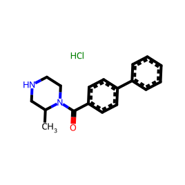 CC1CNCCN1C(=O)c1ccc(-c2ccccc2)cc1.Cl